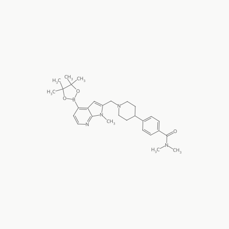 CN(C)C(=O)c1ccc(C2CCN(Cc3cc4c(B5OC(C)(C)C(C)(C)O5)ccnc4n3C)CC2)cc1